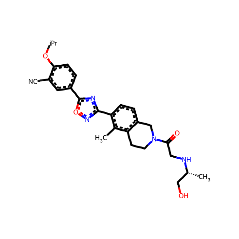 Cc1c(-c2noc(-c3ccc(OC(C)C)c(C#N)c3)n2)ccc2c1CCN(C(=O)CN[C@H](C)CO)C2